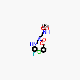 CC(C)(C)OC(=O)NCCCN(CCNc1ccc(F)c(Cl)c1)C(=O)OCc1ccccc1